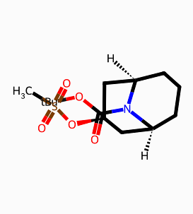 CC(C)(C)OC(=O)N1[C@@H]2CCC[C@H]1C[C@@H](OS(C)(=O)=O)C2